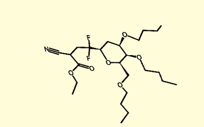 CCCCOC[C@H]1O[C@@H](C(F)(F)CC(C#N)C(=O)OCC)C[C@@H](OCCCC)[C@H]1OCCCC